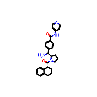 NC(c1ccc(C(=O)Nc2ccncc2)cc1)[C@H]1CCCN1C(=O)[C@@H]1CCCc2ccccc21